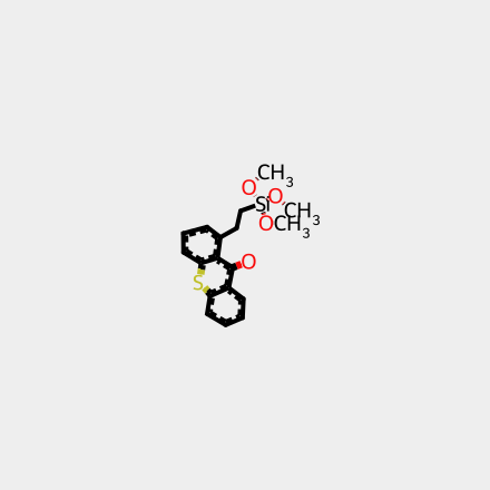 CO[Si](CCc1cccc2sc3ccccc3c(=O)c12)(OC)OC